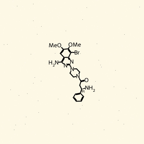 COc1cc2c(N)nc(N3CCN(C(=O)C[C@@H](N)c4ccccc4)CC3)nc2c(Br)c1OC